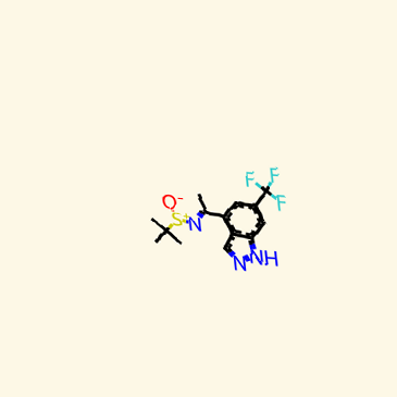 CC(=N[S+]([O-])C(C)(C)C)c1cc(C(F)(F)F)cc2[nH]ncc12